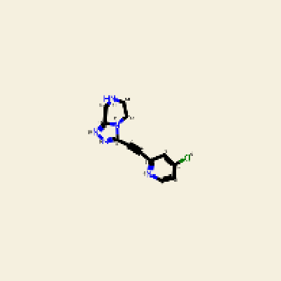 Clc1ccnc(C#Cc2nnc3n2CCNC3)c1